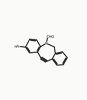 CCCc1ccc2c(c1)C#Cc1ccccc1CN2C=O